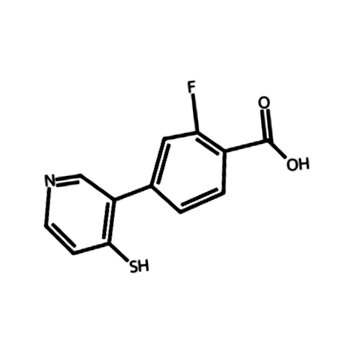 O=C(O)c1ccc(-c2cnccc2S)cc1F